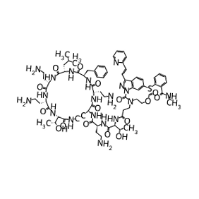 CNC(=O)c1ccccc1Sc1ccc2c(/C=C/c3ccccn3)nn(C(=O)N(CCOC=O)CCC(=O)N[C@H](C(=O)N[C@@H](CCN)C(=O)N[C@H]3CCNC(=O)[C@H]([C@@H](C)O)NC(=O)[C@H](CCN)NC(=O)[C@H](CCN)NC(=O)[C@H](CC(C)C)NC(=O)[C@@H](Cc4ccccc4)NC(=O)[C@H](CCN)NC3=O)[C@@H](C)O)c2c1